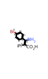 CC(C)/C(C(=O)O)=C(/N)c1ccc(Br)cc1